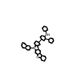 c1ccc(Nc2ccc(-c3ccc4c(c3)c3cc5c(cc3n4-c3ccc4ccccc4c3)oc3ccccc35)cc2-c2ccccc2)cc1